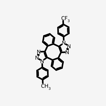 Cc1ccc(-n2nnc3c2-c2ccccc2-c2nnn(-c4ccc(C(F)(F)F)cc4)c2-c2ccccc2-3)cc1